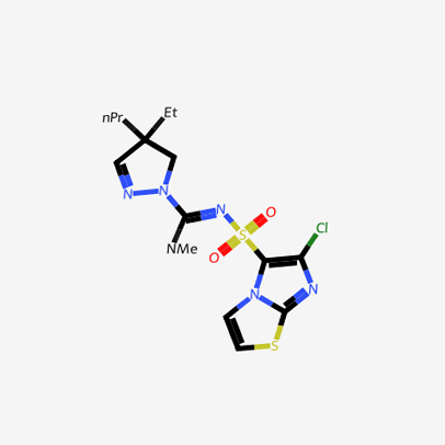 CCCC1(CC)C=NN(/C(=N/S(=O)(=O)c2c(Cl)nc3sccn23)NC)C1